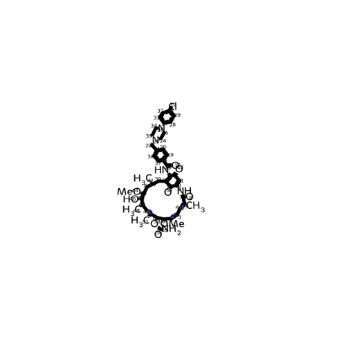 CO[C@H]1/C=C\C=C(/C)C(=O)NC2=CC(=O)C(NC(=O)c3ccc(CN4CCN(c5ccc(Cl)cc5)CC4)cc3)=C(C[C@@H](C)C[C@H](OC)[C@H](O)[C@@H](C)/C=C(\C)[C@@H]1OC(N)=O)C2=O